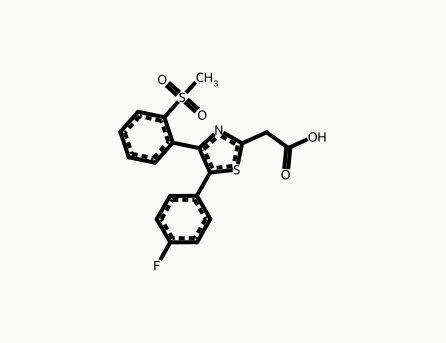 CS(=O)(=O)c1ccccc1-c1nc(CC(=O)O)sc1-c1ccc(F)cc1